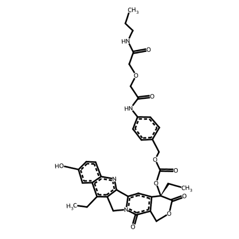 CCCNC(=O)COCC(=O)Nc1ccc(COC(=O)O[C@]2(CC)C(=O)OCc3c2cc2n(c3=O)Cc3c-2nc2ccc(O)cc2c3CC)cc1